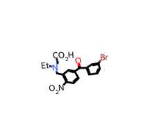 CCN(CC(=O)O)Cc1cc(C(=O)c2cccc(Br)c2)ccc1[N+](=O)[O-]